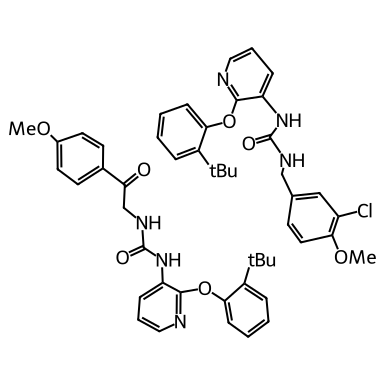 COc1ccc(C(=O)CNC(=O)Nc2cccnc2Oc2ccccc2C(C)(C)C)cc1.COc1ccc(CNC(=O)Nc2cccnc2Oc2ccccc2C(C)(C)C)cc1Cl